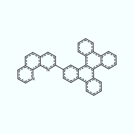 c1cnc2c(c1)ccc1ccc(-c3ccc4c5ccccc5c5c6ccccc6c6ccccc6c5c4c3)nc12